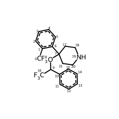 FC(F)(F)c1ccccc1C1(OC(c2ccccc2)C(F)(F)F)CCNCC1